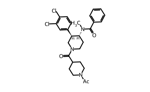 CC(=O)N1CCC(C(=O)N2CC[C@@H](N(C)C(=O)c3ccccc3)[C@H](c3ccc(Cl)c(Cl)c3)C2)CC1